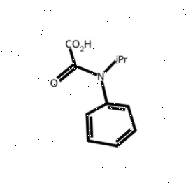 CC(C)N(C(=O)C(=O)O)c1ccccc1